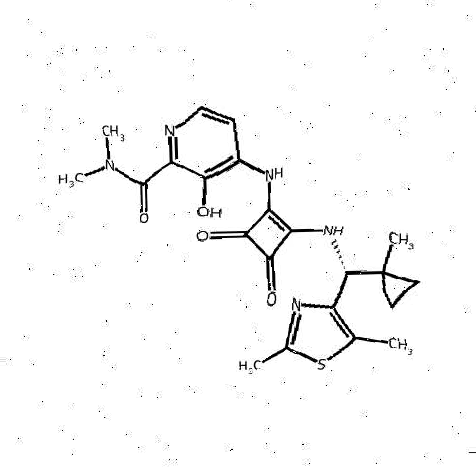 Cc1nc([C@H](Nc2c(Nc3ccnc(C(=O)N(C)C)c3O)c(=O)c2=O)C2(C)CC2)c(C)s1